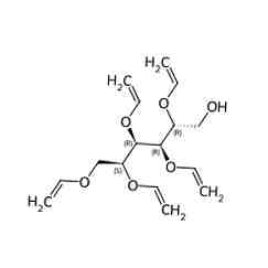 C=COC[C@H](OC=C)[C@@H](OC=C)[C@H](OC=C)[C@@H](CO)OC=C